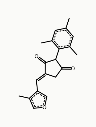 Cc1cc(C)c(C2C(=O)C/C(=C\c3cocc3C)C2=O)c(C)c1